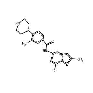 Cc1cn2cc(NC(=O)c3ccc(N4CCNCC4)c(C)c3)cc(F)c2n1